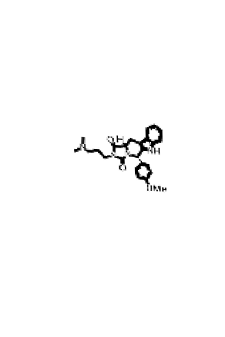 COc1ccc([C@H]2c3[nH]c4ccccc4c3C[C@H]3C(=O)N(CCCN(C)C)C(=O)N23)cc1